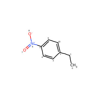 CCc1[c]cc([N+](=O)[O-])cc1